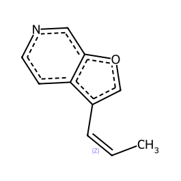 C/C=C\c1coc2cnccc12